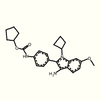 COc1ccc2c(N)c(-c3ccc(NC(=O)OC4CCCC4)cc3)n(C3CCC3)c2c1